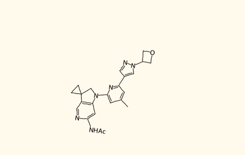 CC(=O)Nc1cc2c(cn1)C1(CC1)CN2c1cc(C)cc(-c2cnn(C3COC3)c2)n1